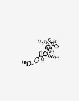 CC[C@@H]1C(=O)N(C)c2cnc(Nc3ccc(C(=O)NC4CCN(CC5CCNCC5)CC4)cc3OC)nc2N1C1CCCC1